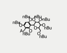 CCCCOCC1OC(c2c(OCCCC)cc(OCCCC)c(C(C)=O)c2OCCCC)C(OCCCC)C(OCCCC)C1OCCCC